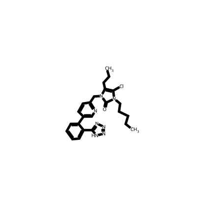 CCCCCn1c(Cl)c(CCC)n(Cc2ccc(-c3ccccc3-c3nnn[nH]3)cn2)c1=O